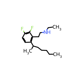 CCCCCC(C)c1ccc(F)c(F)c1CCNCC